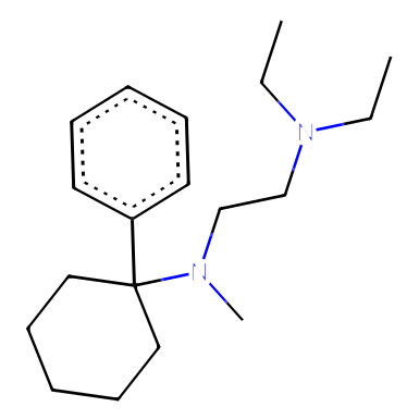 CCN(CC)CCN(C)C1(c2ccccc2)CCCCC1